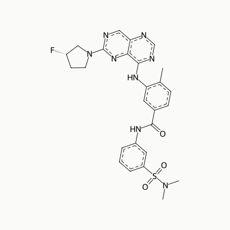 Cc1ccc(C(=O)Nc2cccc(S(=O)(=O)N(C)C)c2)cc1Nc1ncnc2cnc(N3CC[C@H](F)C3)nc12